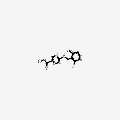 CCNC(=O)c1cnc(OCc2c(Cl)cccc2Cl)cn1